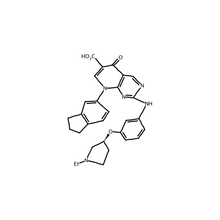 CCN1CC[C@H](Oc2cccc(Nc3ncc4c(=O)c(C(=O)O)cn(-c5ccc6c(c5)CCC6)c4n3)c2)C1